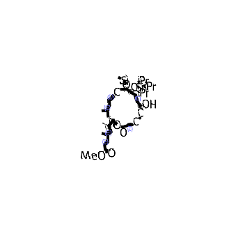 COC(=O)/C=C/C(C)=C/[C@H](C)[C@@H]1C/C(C)=C/C=C/CC[C@@H](O[Si](C)(C)C)[C@H](O[Si](C(C)C)(C(C)C)C(C)C)/C=C/[C@H](O)CCC/C=C/C(=O)O1